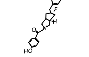 O=C(CN1CC2C[C@@](F)(Cc3ccccc3)C[C@@H]2C1)c1ccc(O)cc1